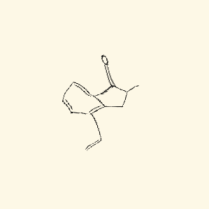 C=Cc1cccc2c1CC(C)C2=O